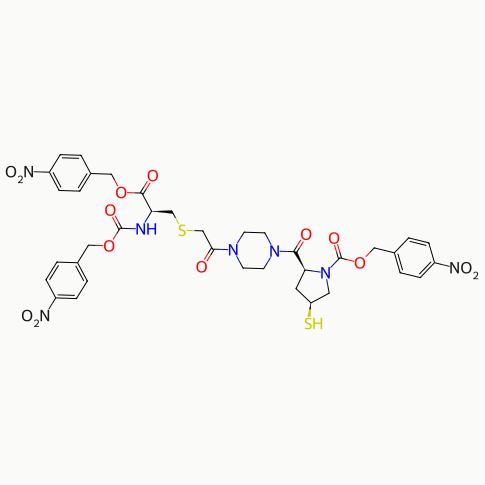 O=C(N[C@H](CSCC(=O)N1CCN(C(=O)[C@@H]2C[C@H](S)CN2C(=O)OCc2ccc([N+](=O)[O-])cc2)CC1)C(=O)OCc1ccc([N+](=O)[O-])cc1)OCc1ccc([N+](=O)[O-])cc1